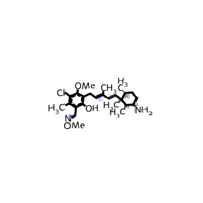 CO/N=C/c1c(C)c(Cl)c(OC)c(C/C=C(C)/C=C/[C@@]2(C)[C@H](C)CC[C@@H](N)[C@@H]2C)c1O